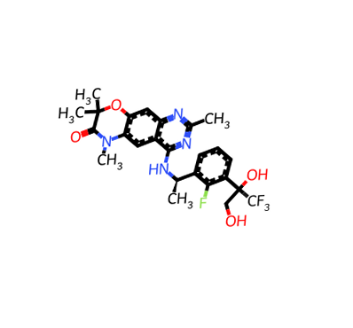 Cc1nc(N[C@H](C)c2cccc(C(O)(CO)C(F)(F)F)c2F)c2cc3c(cc2n1)OC(C)(C)C(=O)N3C